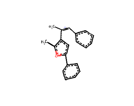 [CH2]/C(=C/c1ccccc1)c1cc(-c2ccccc2)oc1C